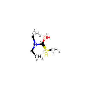 CCN(CC)C(O)=[SH]C